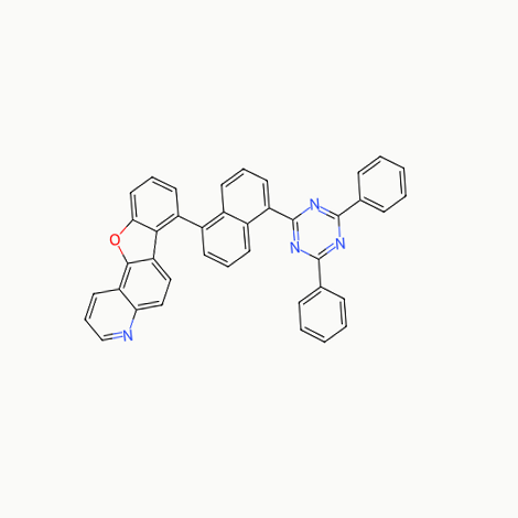 c1ccc(-c2nc(-c3ccccc3)nc(-c3cccc4c(-c5cccc6oc7c8cccnc8ccc7c56)cccc34)n2)cc1